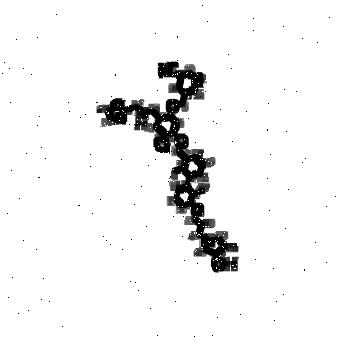 Cc1c(COc2cc(OCc3cncc(C#N)c3)c(CNCc3ncco3)cc2Cl)cccc1-c1cccc(OCCCN2CCC(O)C2)c1C